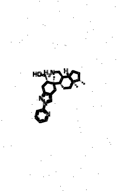 C[C@H]1CC[C@H]2[C@H](CN)[C@@H]([C@@]3(C)Cc4cn(-c5ccccn5)nc4C[C@@H]3CO)CC[C@]12C